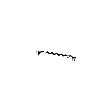 C(CCCCOCC1CO1)CCCCOCC1CO1